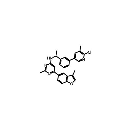 Cc1nc(N[C@@H](C)c2cccc(-c3cnc(Cl)c(C)c3)c2)cc(-c2ccc3occ(C)c3c2)n1